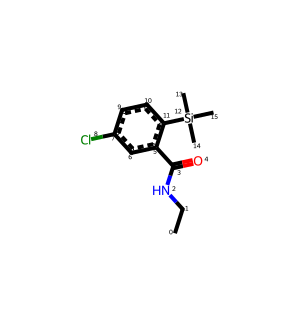 CCNC(=O)c1cc(Cl)ccc1[Si](C)(C)C